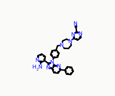 N#Cc1nccc(N2CCCN(Cc3ccc(-n4c(-c5cccnc5N)nc5ccc(-c6ccccc6)nc54)cc3)CC2)n1